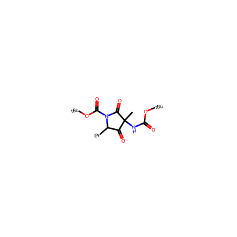 CC(C)C1C(=O)C(C)(NC(=O)OC(C)(C)C)C(=O)N1C(=O)OC(C)(C)C